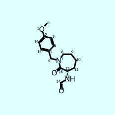 COc1ccc(CN2CCCC[C@H](N[C]=O)C2=O)cc1